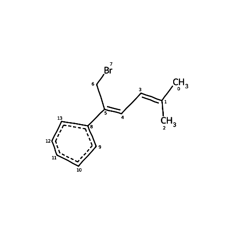 CC(C)=CC=C(CBr)c1ccccc1